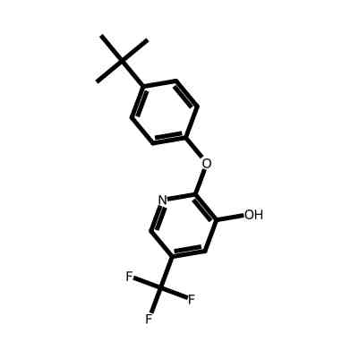 CC(C)(C)c1ccc(Oc2ncc(C(F)(F)F)cc2O)cc1